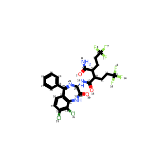 NC(=O)C(CCC(F)(F)F)C(CCC(F)(F)F)C(=O)N[C@H]1N=C(c2ccccc2)c2ccc(Cl)c(Cl)c2NC1=O